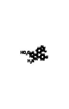 Cn1cnc2ccc(-c3c(-c4ccc(F)cc4)nc(N)c4nc(C(=O)O)cn34)cc21